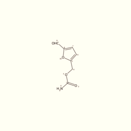 NC(=O)OCc1ccc(C=O)o1